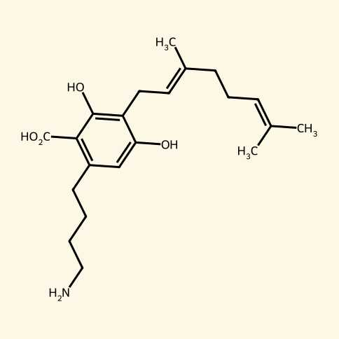 CC(C)=CCC/C(C)=C/Cc1c(O)cc(CCCCN)c(C(=O)O)c1O